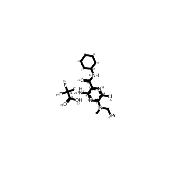 CC(C)CN(C)c1nc(N)c(C(=O)NC2CCCCC2)nc1Cl.O=C(O)C(F)(F)F